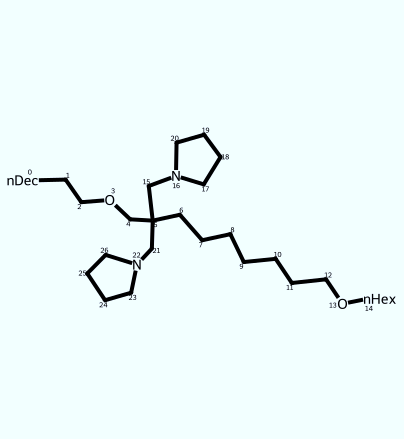 CCCCCCCCCCCCOCC(CCCCCCCOCCCCCC)(CN1CCCC1)CN1CCCC1